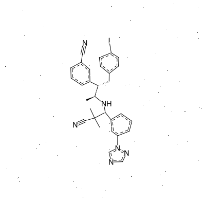 C[C@H](NC(c1cccc(-n2cncn2)c1)C(C)(C)C#N)[C@@H](Cc1ccc(I)cc1)c1cccc(C#N)c1